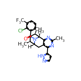 Cc1nc(-c2ccn[nH]2)c2c(n1)[C@H]1[C@H](C)C[C@H](C)[C@@H](C2)N1C(=O)c1cccc(C(F)(F)F)c1Cl